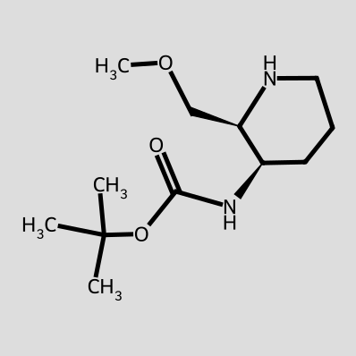 COC[C@H]1NCCC[C@H]1NC(=O)OC(C)(C)C